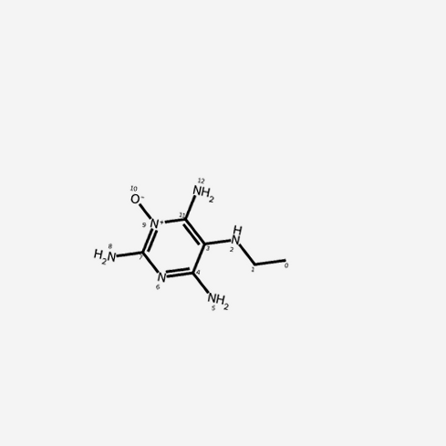 CCNc1c(N)nc(N)[n+]([O-])c1N